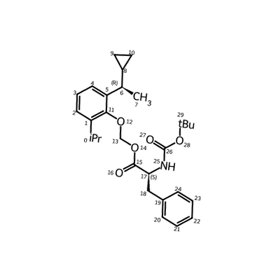 CC(C)c1cccc([C@H](C)C2CC2)c1OCOC(=O)[C@H](Cc1ccccc1)NC(=O)OC(C)(C)C